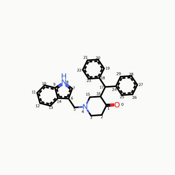 O=C1CCN(Cc2c[nH]c3ccccc23)CC1C(c1ccccc1)c1ccccc1